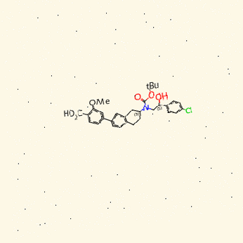 COc1cc(-c2ccc3c(c2)C[C@@H](N(C[C@@H](O)c2ccc(Cl)cc2)C(=O)OC(C)(C)C)CC3)ccc1C(=O)O